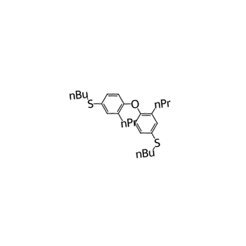 CCCCSc1ccc(Oc2ccc(SCCCC)cc2CCC)c(CCC)c1